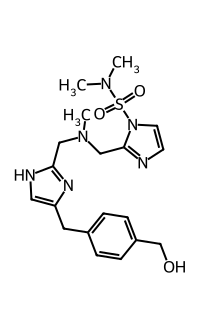 CN(Cc1nc(Cc2ccc(CO)cc2)c[nH]1)Cc1nccn1S(=O)(=O)N(C)C